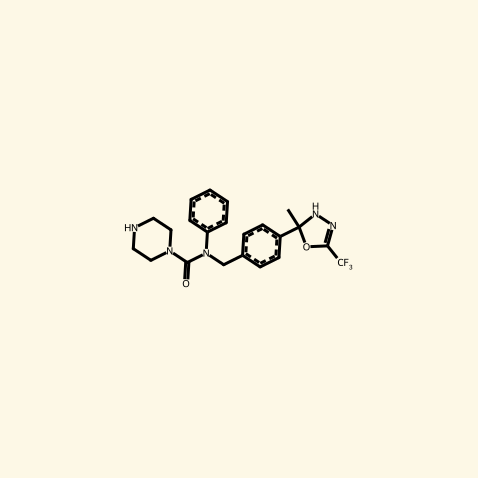 CC1(c2ccc(CN(C(=O)N3CCNCC3)c3ccccc3)cc2)NN=C(C(F)(F)F)O1